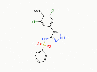 COc1c(Cl)cc(-c2c[nH]nc2NS(=O)(=O)c2ccccc2)cc1Cl